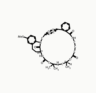 CSc1ccc2c(c1)CC[C@H]1NC(=O)CC(C)(C)NC[C@@H](C)OC(=O)CCCNC(=O)c3ccccc3-c3ccc(cc3)CN2C1=O